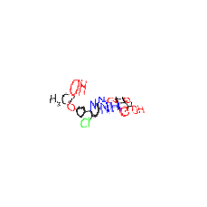 CC(CO)Oc1ccc(-c2nc3nc(O[C@@H]4COC5[C@H](O)CO[C@@H]54)[nH]c3cc2Cl)cc1